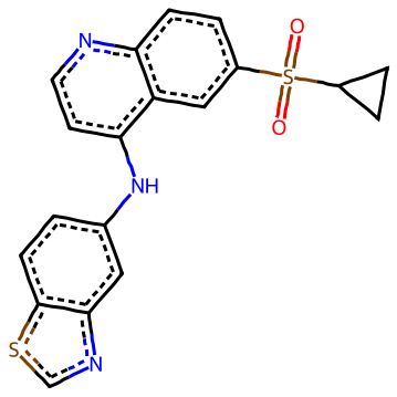 O=S(=O)(c1ccc2nccc(Nc3ccc4scnc4c3)c2c1)C1CC1